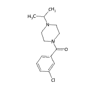 CC(C)N1CCN(C(=O)c2cccc(Cl)c2)CC1